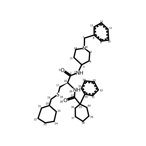 O=C(NC1CCN(Cc2ccccc2)CC1)[C@H](CSCC1CCCCC1)NC(=O)C1(c2ccccc2)CCCCC1